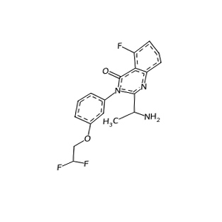 CC(N)c1nc2cccc(F)c2c(=O)n1-c1cccc(OCC(F)F)c1